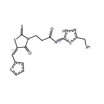 CC(C)Cc1n[nH]/c(=N\C(=O)CCN2C(=O)/C(=C\c3cccs3)SC2=S)s1